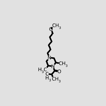 COCCCCCCN1CC(C)N(C(=O)C(C)C)C(C)C1